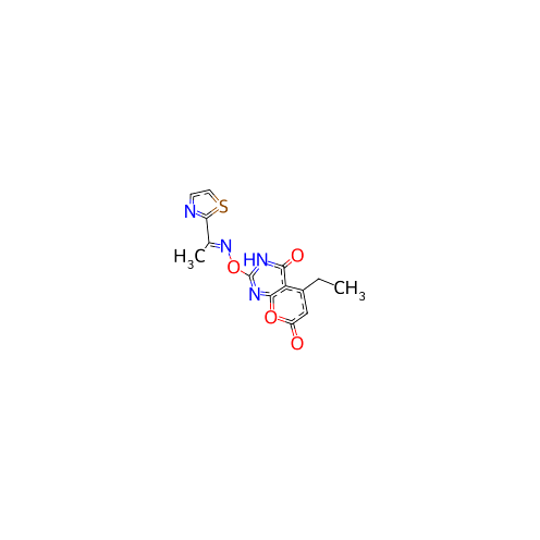 CCc1cc(=O)oc2nc(O/N=C(\C)c3nccs3)[nH]c(=O)c12